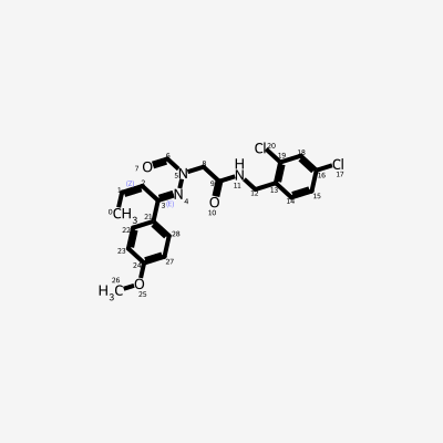 C/C=C\C(=N/N(C=O)CC(=O)NCc1ccc(Cl)cc1Cl)c1ccc(OC)cc1